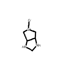 [O-][S+]1CC2N[C]NC2C1